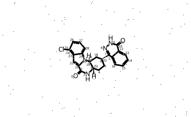 O=C1N[C@H]2CC[C@H](c3n[nH]c(=O)c4ccccc34)C[C@@H]2n2c1cc1c(Cl)cccc12